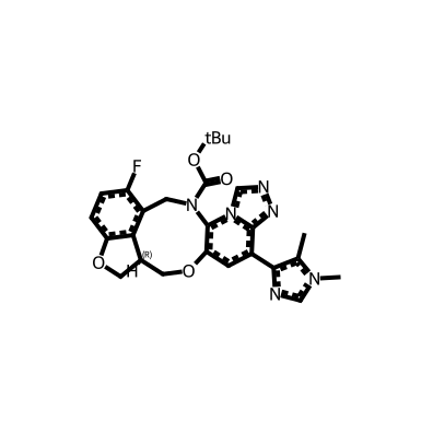 Cc1c(-c2cc3c(n4cnnc24)N(C(=O)OC(C)(C)C)Cc2c(F)ccc4c2[C@H](CO4)CO3)ncn1C